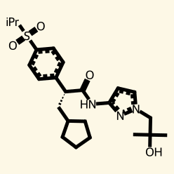 CC(C)S(=O)(=O)c1ccc([C@@H](CC2CCCC2)C(=O)Nc2ccn(CC(C)(C)O)n2)cc1